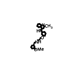 COc1cccc(CNCCCOc2cccc(Nc3cc(C)nc4ccccc34)c2)c1